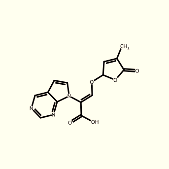 CC1=CC(O/C=C(/C(=O)O)n2ccc3cncnc32)OC1=O